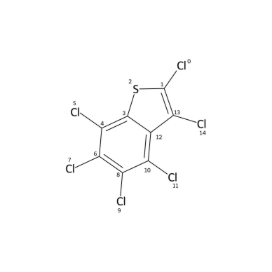 Clc1sc2c(Cl)c(Cl)c(Cl)c(Cl)c2c1Cl